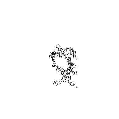 CCCC[C@H](NC(=O)CCC)C(=O)N[C@H]1CCC(=O)NCCCC[C@@H](C(N)=O)NC(=O)[C@H](Cc2c[nH]c3ccccc23)NC(=O)[C@H](CCCNC(=N)N)NC(=O)[C@@H](Cc2ccccc2)NC(=O)[C@@H]2C[C@@H](O)CN2C1=O